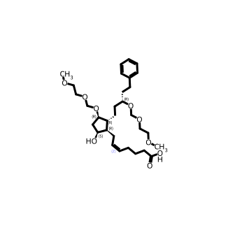 COCCOCO[C@@H](CCc1ccccc1)CC[C@@H]1[C@@H](C/C=C\CCCC(=O)O)[C@@H](O)C[C@H]1OCOCCOC